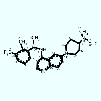 Cc1c([C@@H](C)Nc2ccnc3ccc(N4CCC(N(C)C)CC4)cc23)cccc1C(F)(F)F